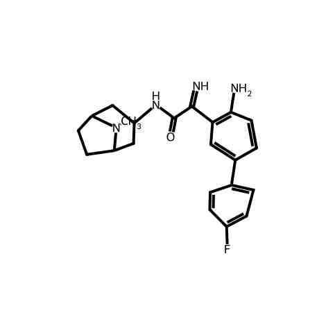 CN1C2CCC1CC(NC(=O)C(=N)c1cc(-c3ccc(F)cc3)ccc1N)C2